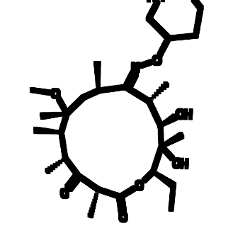 CC[C@H]1OC(=O)[C@H](C)C(=O)[C@H](C)[C@@H](C)[C@](C)(OC)C[C@@H](C)C(=NOC2CCCNC2)[C@H](C)[C@@H](O)[C@]1(C)O